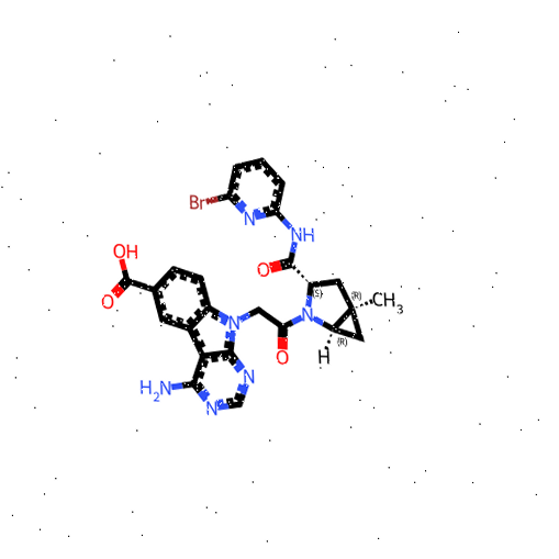 C[C@@]12C[C@@H](C(=O)Nc3cccc(Br)n3)N(C(=O)Cn3c4ccc(C(=O)O)cc4c4c(N)ncnc43)[C@@H]1C2